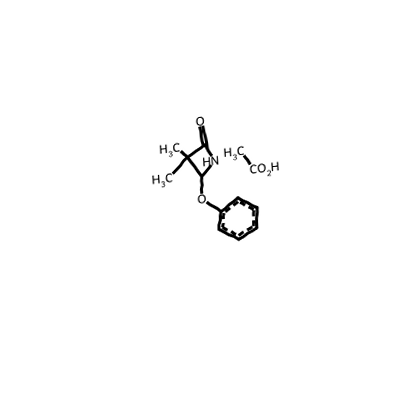 CC(=O)O.CC1(C)C(=O)NC1Oc1ccccc1